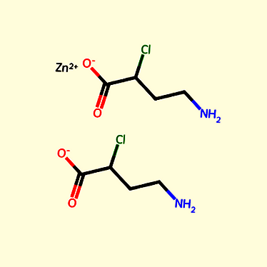 NCCC(Cl)C(=O)[O-].NCCC(Cl)C(=O)[O-].[Zn+2]